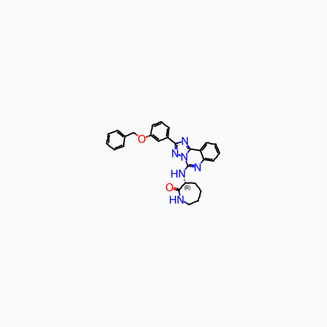 O=C1NCCCC[C@H]1Nc1nc2ccccc2c2nc(-c3cccc(OCc4ccccc4)c3)nn12